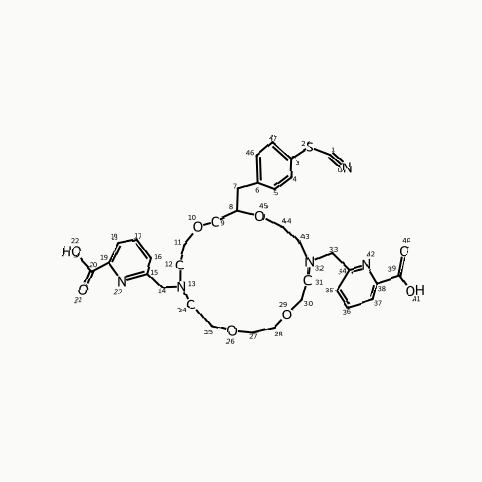 N#CSc1ccc(CC2COCCN(Cc3cccc(C(=O)O)n3)CCOCCOCCN(Cc3cccc(C(=O)O)n3)CCO2)cc1